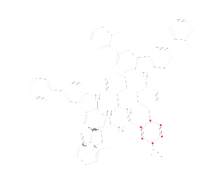 Cc1ccccc1-c1ccc2c(c1)c1cc(-c3ccccc3C)ccc1n2-c1ccc(-c2ccc(C#N)cc2)cc1-c1cccc(-n2c3ccc(-c4ccccc4C)cc3c3cc(-c4ccccc4C)ccc32)c1-c1nc(-c2ccccc2)nc(-c2ccccc2)n1